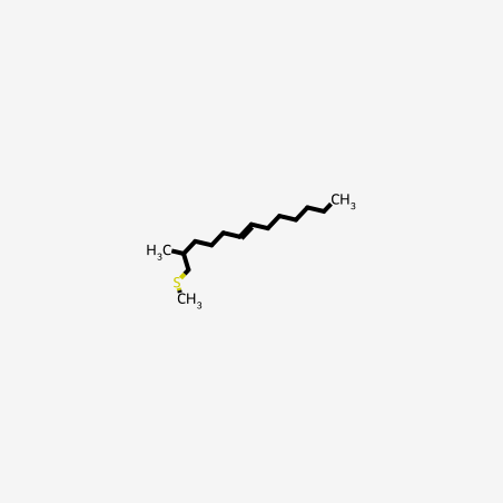 CCCCCCC=CCCCC(C)CSC